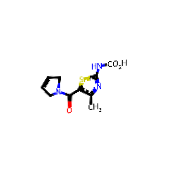 Cc1nc(NC(=O)O)sc1C(=O)N1CC=CC1